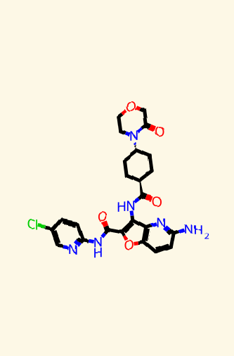 Nc1ccc2oc(C(=O)Nc3ccc(Cl)cn3)c(NC(=O)[C@H]3CC[C@H](N4CCOCC4=O)CC3)c2n1